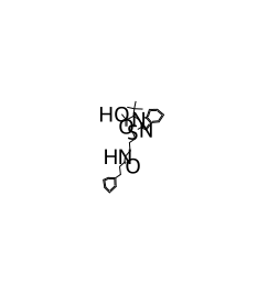 CC(C)(C)C(C(=O)O)n1c(SCCCNC(=O)CCc2ccccc2)nc2ccccc21